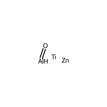 [O]=[AlH].[Ti].[Zn]